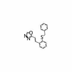 C(=C\c1ccccc1SCc1ccccc1)/c1nnco1